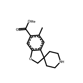 COC(=O)c1cc2c(cc1C)C1(CCNCC1)CO2